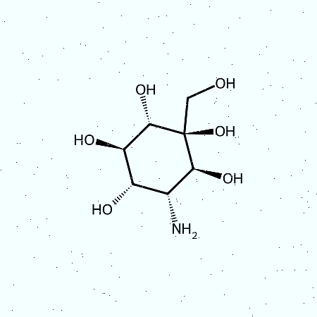 N[C@@H]1[C@H](O)[C@@H](O)[C@H](O)[C@](O)(CO)[C@H]1O